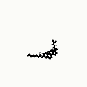 CCCCCCCC(=O)OC1CCC2(C)C(=CCC3C2CCC2(C)C(C(C)CCCC(C)C)CCC32)C1